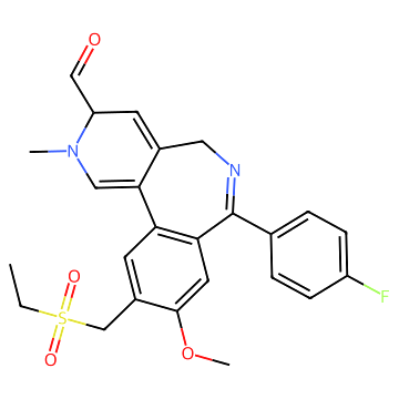 CCS(=O)(=O)Cc1cc2c(cc1OC)C(c1ccc(F)cc1)=NCC1=CC(C=O)N(C)C=C12